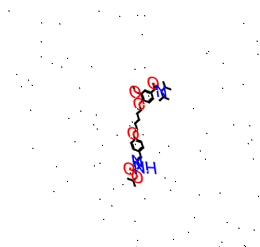 COc1cc(C(=O)N(C(C)C)C(C)C)ccc1OCCCCCOc1ccc(C=NNC(=O)OC(C)C)cc1